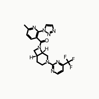 Cc1ccc(C(=O)N2C[C@H]3CCN(c4nccc(C(F)(F)F)n4)C[C@H]32)c(-n2ccnn2)n1